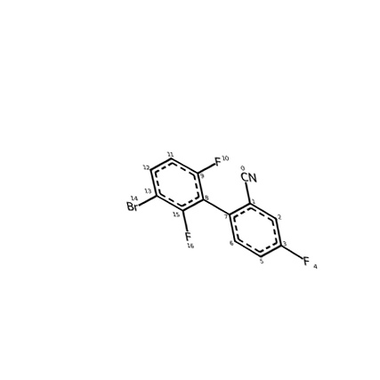 N#Cc1cc(F)ccc1-c1c(F)ccc(Br)c1F